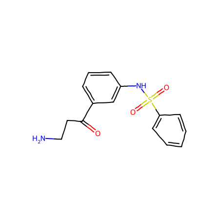 NCCC(=O)c1cccc(NS(=O)(=O)c2ccccc2)c1